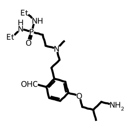 CCNP(=O)(CCN(C)CCc1cc(OCC(C)CN)ccc1C=O)NCC